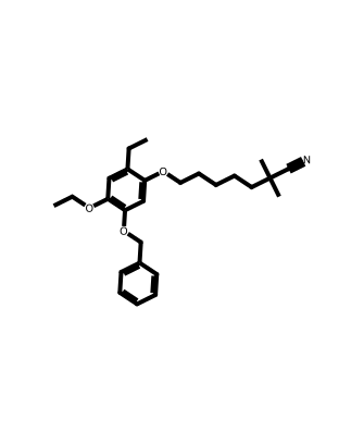 CCOc1cc(CC)c(OCCCCCC(C)(C)C#N)cc1OCc1ccccc1